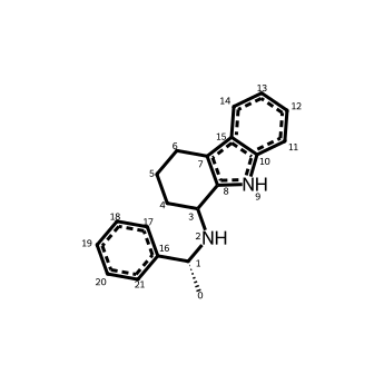 C[C@@H](NC1CCCc2c1[nH]c1ccccc21)c1ccccc1